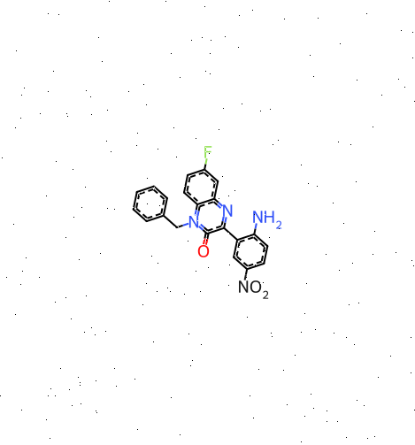 Nc1ccc([N+](=O)[O-])cc1-c1nc2cc(F)ccc2n(Cc2ccccc2)c1=O